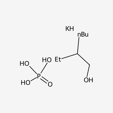 CCCCC(CC)CO.O=P(O)(O)O.[KH]